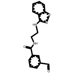 O=Cc1cccc(C(=O)NCCNc2nsc3ccccc23)c1